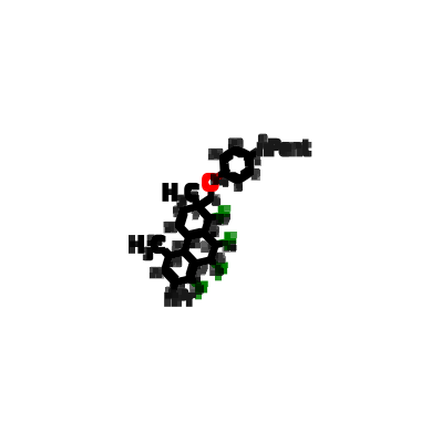 CCCCCc1ccc(OCC2(C)C=CC3=C(C(F)C(F)C4=C(F)C(CCC)=CC(C)C34)C2F)cc1